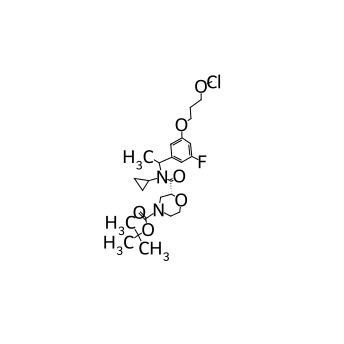 CC(c1cc(F)cc(OCCCOCl)c1)N(C(=O)[C@H]1CN(C(=O)OC(C)(C)C)CCO1)C1CC1